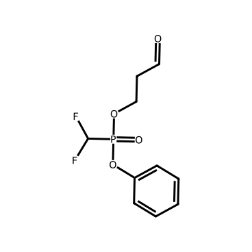 O=CCCOP(=O)(Oc1ccccc1)C(F)F